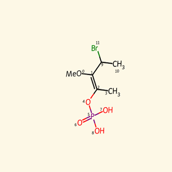 COC(=C(C)OP(=O)(O)O)C(C)Br